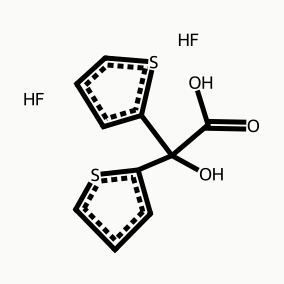 F.F.O=C(O)C(O)(c1cccs1)c1cccs1